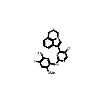 COc1cc(F)c([N+](=O)[O-])cc1Nc1ncc(Cl)c(-c2cn3c4c(cccc24)CCC3)n1